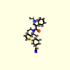 CCn1cc(C(=O)N2CCc3ccsc3C2Cc2ccc(C#N)cc2)c2ccccc21